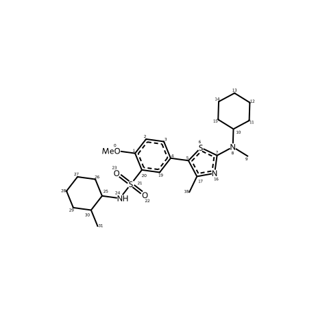 COc1ccc(-c2sc(N(C)C3CCCCC3)nc2C)cc1S(=O)(=O)NC1CCCCC1C